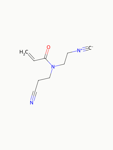 [C-]#[N+]CCN(CCC#N)C(=O)C=C